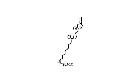 CCCCCCCC/C=C\CCCCCCCC(=O)OCC[N+]1([O-])CCNC1